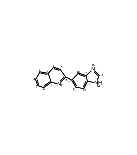 [c]1cc2ccccc2nc1-c1ccc2[nH]cnc2c1